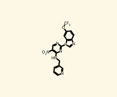 O=[N+]([O-])c1cnc(-n2cnc3ccc(OC(F)(F)F)cc32)nc1NCc1cccnc1